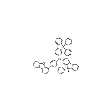 CC1(c2ccccc2)c2ccccc2-c2ccc(N(c3ccc(-c4cccc5c4oc4ccccc45)cc3)c3ccc4c(c3)C3(c5ccccc5-c5ccccc53)c3ccccc3-4)cc21